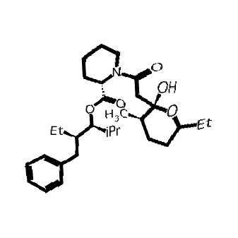 CCC1CC[C@@H](C)[C@](O)(CC(=O)N2CCCC[C@H]2C(=O)O[C@@H](C(C)C)[C@H](CC)Cc2ccccc2)O1